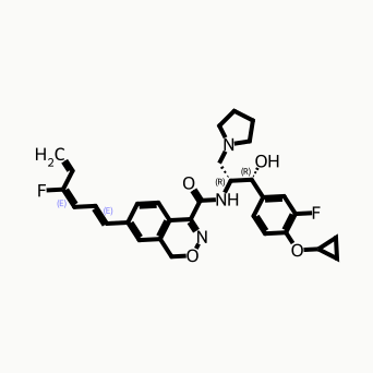 C=C/C(F)=C\C=C\c1ccc2c(c1)CON=C2C(=O)N[C@H](CN1CCCC1)[C@H](O)c1ccc(OC2CC2)c(F)c1